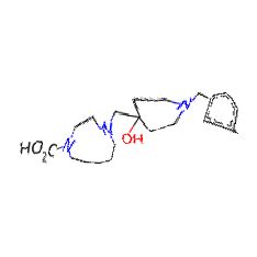 O=C(O)N1CCCN(CC2(O)CCN(Cc3ccccc3)CC2)CC1